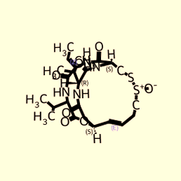 C/C=C1\NC(=O)[C@H]2CS[S+]([O-])CC/C=C/[C@H](CC(=O)N[C@H](C(C)C)C(=O)N2)OC(=O)C(C(C)C)NC1=O